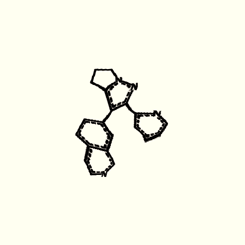 c1ccc(-c2nn3c(c2-c2ccc4ccncc4c2)CCC3)nc1